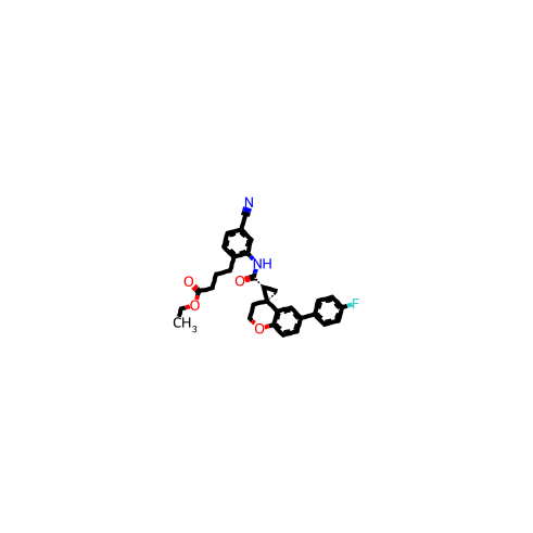 CCOC(=O)CCCc1ccc(C#N)cc1NC(=O)[C@@H]1C[C@]12CCOc1ccc(-c3ccc(F)cc3)cc12